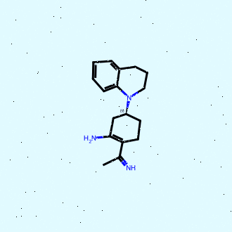 CC(=N)C1=C(N)C[C@@H](N2CCCc3ccccc32)CC1